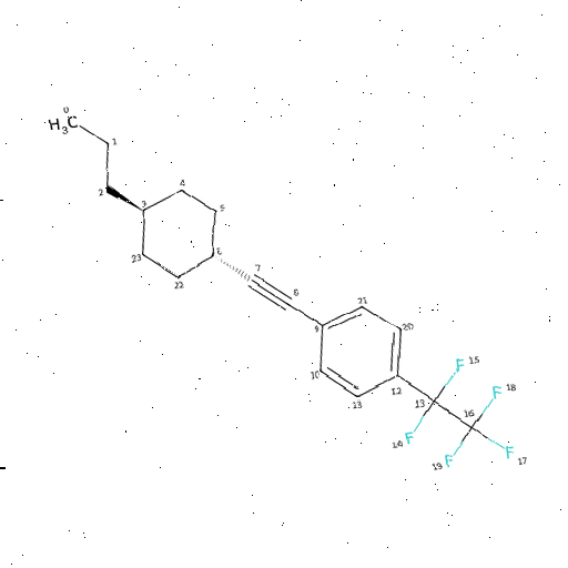 CCC[C@H]1CC[C@H](C#Cc2ccc(C(F)(F)C(F)(F)F)cc2)CC1